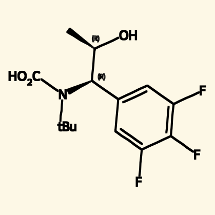 C[C@@H](O)[C@@H](c1cc(F)c(F)c(F)c1)N(C(=O)O)C(C)(C)C